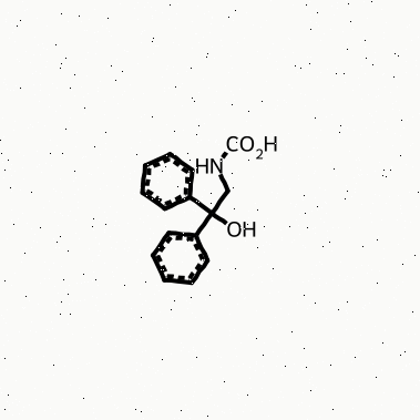 O=C(O)NCC(O)(c1ccccc1)c1ccccc1